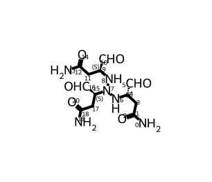 NC(=O)C[C@@H](C=O)NN(N[C@H](C=O)CC(N)=O)[C@H](C=O)CC(N)=O